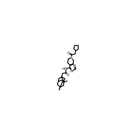 CC12CC3CC(C)(C1)CC(CC(=O)Nc1ncnc4c1CCN(C(=O)CC1CCCC1)C4)(C3)C2